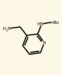 CCCCNc1ncccc1CN